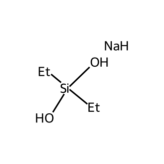 CC[Si](O)(O)CC.[NaH]